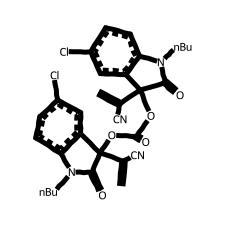 C=C(C#N)C1(OC(=O)OC2(C(=C)C#N)C(=O)N(CCCC)c3ccc(Cl)cc32)C(=O)N(CCCC)c2ccc(Cl)cc21